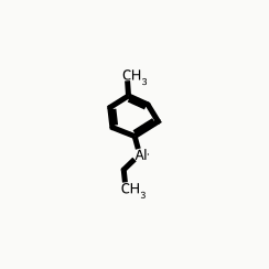 C[CH2][Al][c]1ccc(C)cc1